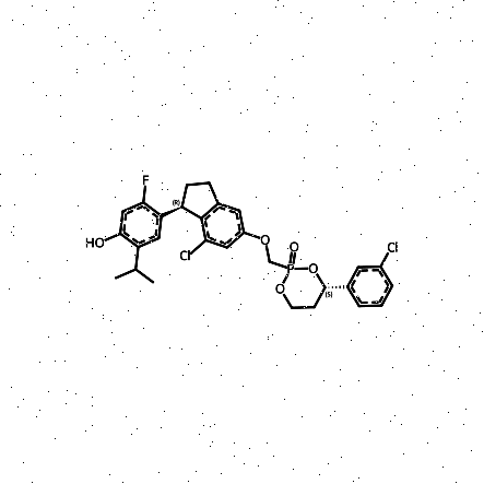 CC(C)c1cc([C@H]2CCc3cc(OCP4(=O)OCC[C@@H](c5cccc(Cl)c5)O4)cc(Cl)c32)c(F)cc1O